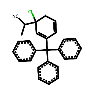 CC(C#N)C1(Cl)[CH]C=CC(C(c2ccccc2)(c2ccccc2)c2ccccc2)=C1